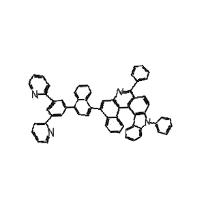 c1ccc(-c2nc3cc(-c4ccc(-c5cc(-c6ccccn6)cc(-c6ccccn6)c5)c5ccccc45)c4ccccc4c3c3c2ccc2c3c3ccccc3n2-c2ccccc2)cc1